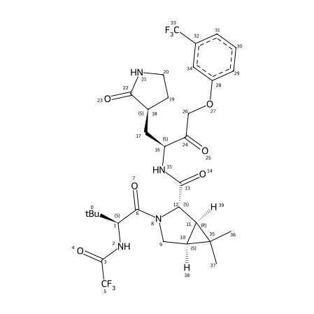 CC(C)(C)[C@H](NC(=O)C(F)(F)F)C(=O)N1C[C@H]2[C@@H]([C@H]1C(=O)N[C@@H](C[C@@H]1CCNC1=O)C(=O)COc1cccc(C(F)(F)F)c1)C2(C)C